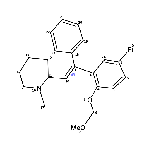 CCc1ccc(OCOC)c(/C(=C/C2CCCCN2C)c2ccccc2)c1